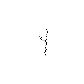 CCCCC[C@@H](CO)CCCC